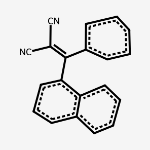 N#CC(C#N)=C(c1ccccc1)c1cccc2ccccc12